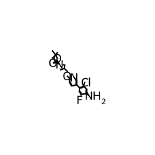 CC(C)(C)OC(=O)N1CC(COc2ccc(-c3cc(F)c(N)cc3Cl)cn2)C1